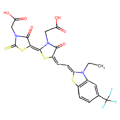 CCN1/C(=C/C=c2/s/c(=C3\SC(=S)N(CC(=O)O)C3=O)n(CC(=O)O)c2=O)Sc2ccc(C(F)(F)F)cc21